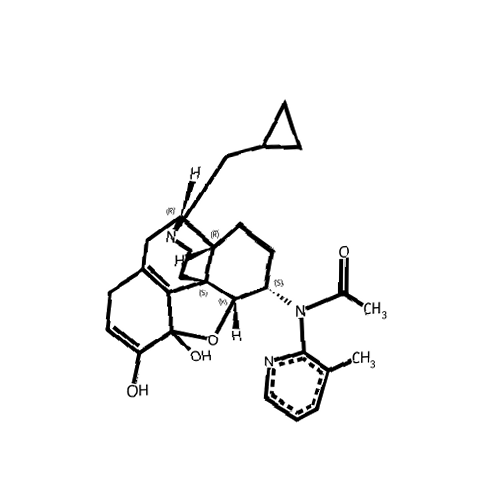 CC(=O)N(c1ncccc1C)[C@H]1CC[C@H]2[C@H]3CC4=C5C(O)(O[C@@H]1[C@]52CCN3CC1CC1)C(O)=CC4